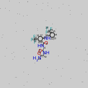 CC(NC(=O)CNC(=O)c1cc(C(F)(F)F)ccc1NCc1ccccc1C(F)(F)F)C(N)=O